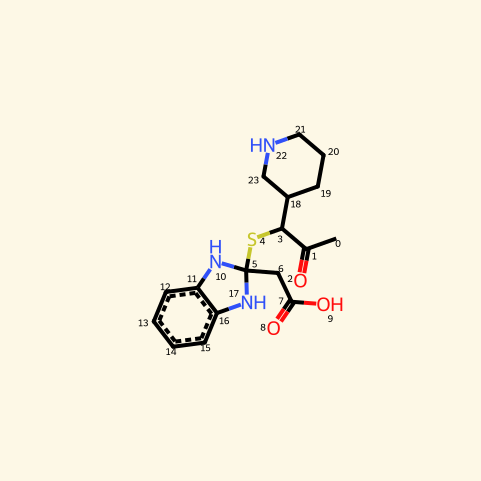 CC(=O)C(SC1(CC(=O)O)Nc2ccccc2N1)C1CCCNC1